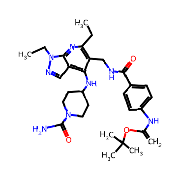 C=C(Nc1ccc(C(=O)NCc2c(CC)nc3c(cnn3CC)c2NC2CCN(C(N)=O)CC2)cc1)OC(C)(C)C